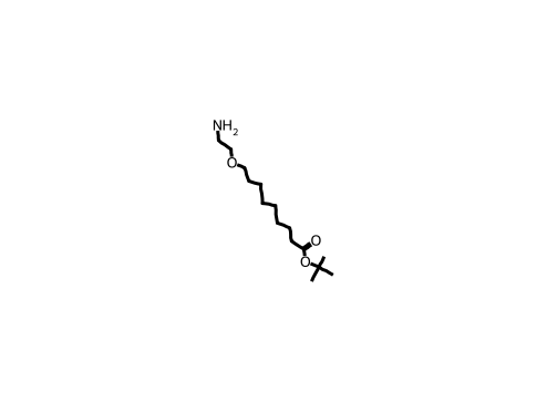 CC(C)(C)OC(=O)CCCCCCCCOCCN